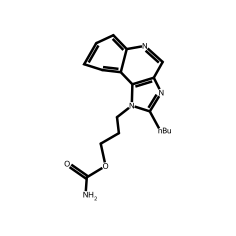 CCCCc1nc2cnc3ccccc3c2n1CCCOC(N)=O